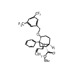 C=CCN1[C@H]2CCC(OCc3cc(C(F)(F)F)cc(C(F)(F)F)c3)C1(c1ccccc1)C[C@H]2C(=O)OC(C)(C)C